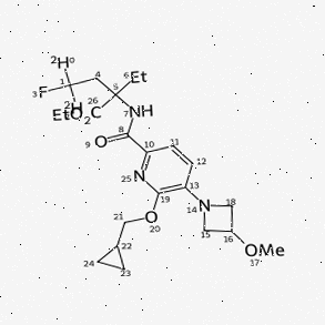 [2H]C([2H])(F)CC(CC)(NC(=O)c1ccc(N2CC(OC)C2)c(OCC2CC2)n1)C(=O)OCC